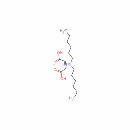 CCCCCCNCCCCCC.O=C(O)/C=C\C(=O)O